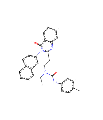 Cc1ccc(NC(=O)N(CCc2nc3ccccc3c(=O)n2-c2ccc3ccccc3c2)CC(C)C)cc1